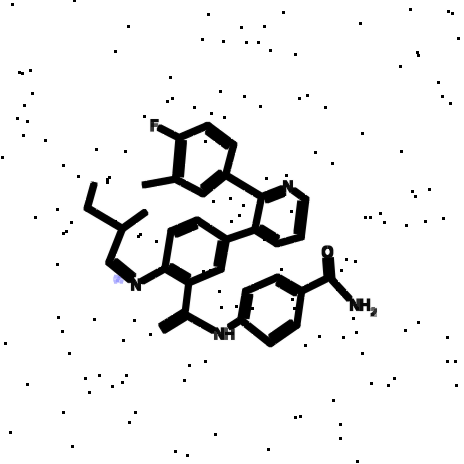 C=C(Nc1ccc(C(N)=O)cc1)c1cc(-c2cccnc2-c2ccc(F)c(C)c2)ccc1/N=C\C(C)CC